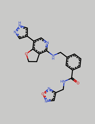 O=C(NCc1cnon1)c1cccc(CNc2ncc(-c3cn[nH]c3)c3c2CCO3)c1